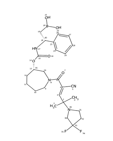 CC(C)(C=C(C#N)C(=O)N1CCCC[C@H](OC(=O)N[C@H](CB(O)O)c2ccccc2)C1)N1CCC(F)(F)C1